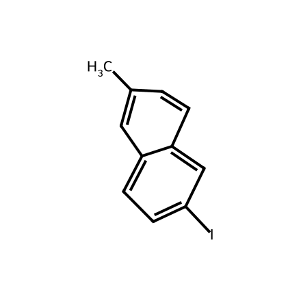 Cc1ccc2cc(I)ccc2c1